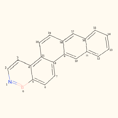 b1nccc2c1ccc1c3cc4ccccc4cc3ccc21